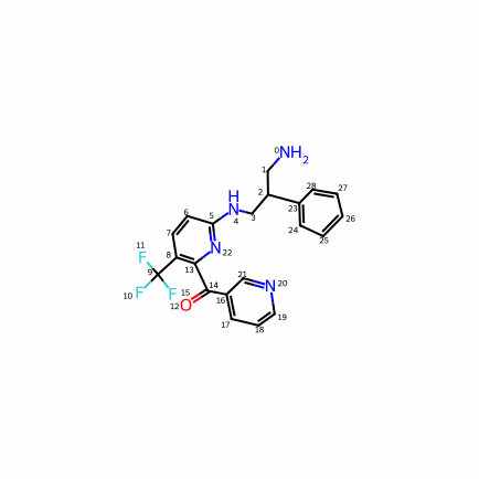 NCC(CNc1ccc(C(F)(F)F)c(C(=O)c2cccnc2)n1)c1ccccc1